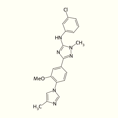 COc1cc(-c2nc(Nc3cccc(Cl)c3)n(C)n2)ccc1-n1cnc(C)c1